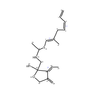 C=C/C=C\C/C(C)=C/SC(C)NCC1(CCC)OCC(=C)/C1=C\C